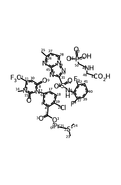 CC(C)OC(=O)c1cc(-n2c(=O)cc(C(F)(F)F)n(C)c2=O)ccc1Cl.C[S+](C)C.Cc1ccn2nc(S(=O)(=O)Nc3c(F)cccc3F)nc2n1.O=C(O)CNCP(=O)([O-])O